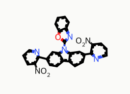 O=[N+]([O-])c1cccnc1-c1ccc2c3ccc(-c4ncccc4[N+](=O)[O-])cc3n(-c3nc4ccccc4o3)c2c1